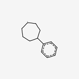 [CH]1CCCC(c2ccccc2)CC1